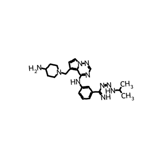 CC(C)N/N=N\C(=N)c1cccc(Nc2ncnn3ccc(CN4CCC(N)CC4)c23)c1